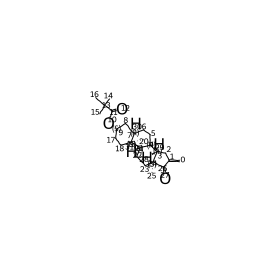 C=C1C[C@H]2[C@@H]3CC[C@@H]4C[C@@H](OC(=O)C(C)(C)C)CC[C@]4(C)[C@H]3CC[C@]2(C)C1=O